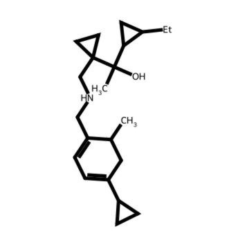 CCC1CC1C(C)(O)C1(CNCC2=CC=C(C3CC3)CC2C)CC1